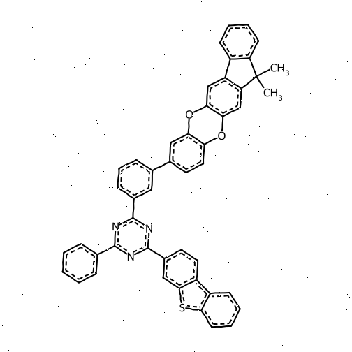 CC1(C)c2ccccc2-c2cc3c(cc21)Oc1ccc(-c2cccc(-c4nc(-c5ccccc5)nc(-c5ccc6c(c5)sc5ccccc56)n4)c2)cc1O3